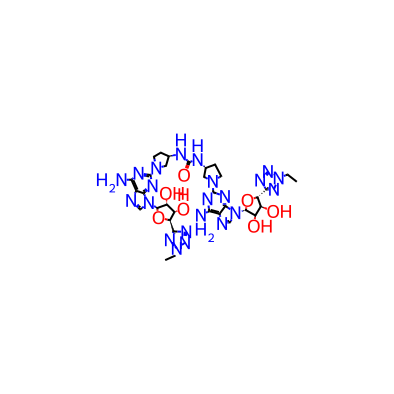 CCn1nnc([C@H]2O[C@@H](n3cnc4c(N)nc(N5CC[C@@H](NC(=O)N[C@@H]6CCN(c7nc(N)c8ncn([C@@H]9O[C@H](c%10nnn(CC)n%10)[C@@H](O)[C@H]9O)c8n7)C6)C5)nc43)[C@H](O)[C@@H]2O)n1